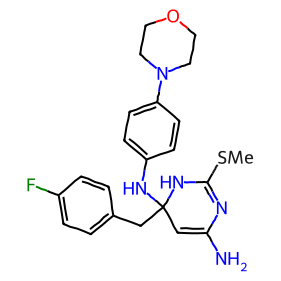 CSC1=NC(N)=CC(Cc2ccc(F)cc2)(Nc2ccc(N3CCOCC3)cc2)N1